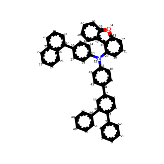 c1ccc(-c2ccc(-c3ccc(N(c4ccc(-c5cccc6ccccc56)cc4)c4cccc5oc6ccccc6c45)cc3)cc2-c2ccccc2)cc1